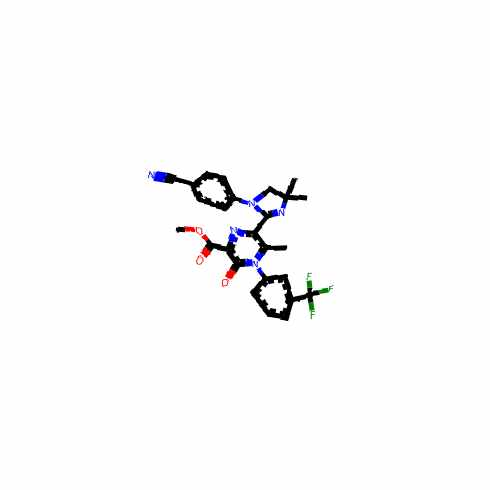 COC(=O)c1nc(C2=NC(C)(C)CN2c2ccc(C#N)cc2)c(C)n(-c2cccc(C(F)(F)F)c2)c1=O